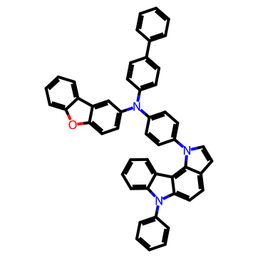 c1ccc(-c2ccc(N(c3ccc(-n4ccc5ccc6c(c7ccccc7n6-c6ccccc6)c54)cc3)c3ccc4oc5ccccc5c4c3)cc2)cc1